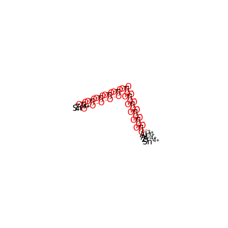 [Al+3].[Al+3].[O]=[Ti]([O-])[O-].[O]=[Ti]([O-])[O-].[O]=[Ti]([O-])[O-].[O]=[Ti]([O-])[O-].[O]=[Ti]([O-])[O-].[O]=[Ti]([O-])[O-].[O]=[Ti]([O-])[O-].[O]=[Ti]([O-])[O-].[O]=[Ti]([O-])[O-].[O]=[Ti]([O-])[O-].[O]=[Ti]([O-])[O-].[Sn+4].[Sn+4].[Zr+4].[Zr+4]